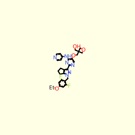 CCOc1cc(F)c(Cn2nc(-c3ncc(OCC4(CO)COC4)c(Nc4ccncc4)n3)c3c2CCC3)c(F)c1